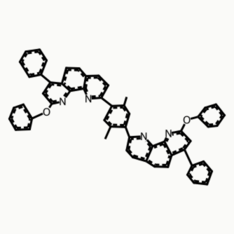 Cc1cc(-c2ccc3ccc4c(-c5ccccc5)cc(Oc5ccccc5)nc4c3n2)c(C)cc1-c1ccc2ccc3c(-c4ccccc4)cc(Oc4ccccc4)nc3c2n1